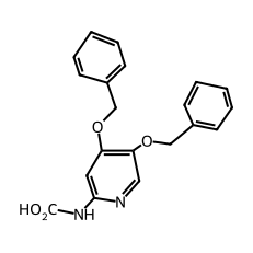 O=C(O)Nc1cc(OCc2ccccc2)c(OCc2ccccc2)cn1